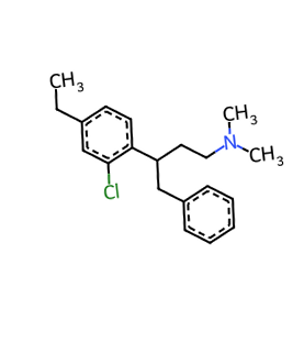 CCc1ccc(C(CCN(C)C)Cc2ccccc2)c(Cl)c1